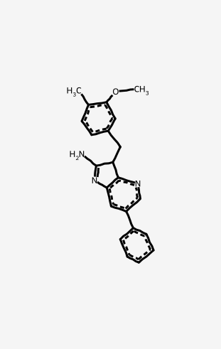 COc1cc(CC2C(N)=Nc3cc(-c4ccccc4)cnc32)ccc1C